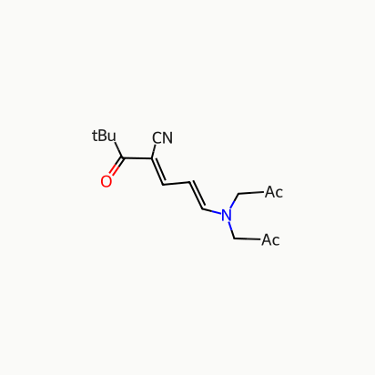 CC(=O)CN(/C=C/C=C(\C#N)C(=O)C(C)(C)C)CC(C)=O